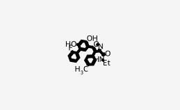 CCNC(=O)c1noc(-c2cc(-c3ccccc3F)c(O)cc2O)c1-c1ccc(C)cc1